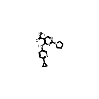 NC(=O)c1cnc(N2CCCC2)nc1Nc1ccc(C2CC2)nc1